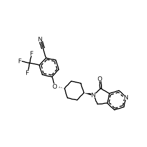 N#Cc1ccc(O[C@H]2CC[C@H](N3Cc4ccncc4C3=O)CC2)cc1C(F)(F)F